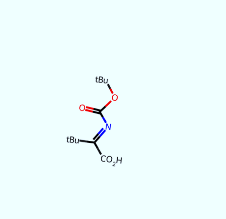 CC(C)(C)OC(=O)N=C(C(=O)O)C(C)(C)C